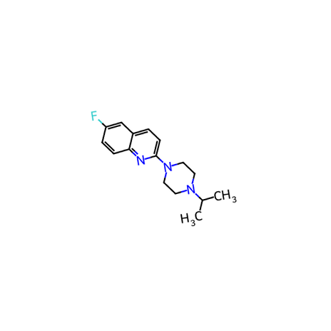 CC(C)N1CCN(c2ccc3cc(F)ccc3n2)CC1